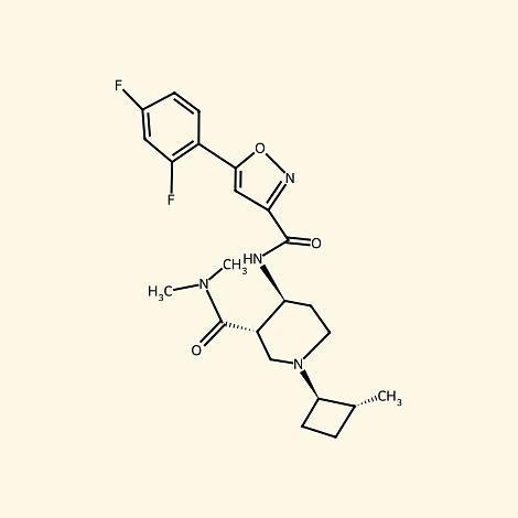 C[C@@H]1CC[C@H]1N1CC[C@H](NC(=O)c2cc(-c3ccc(F)cc3F)on2)[C@@H](C(=O)N(C)C)C1